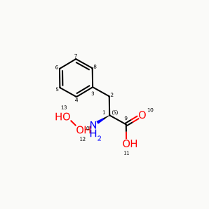 N[C@@H](Cc1ccccc1)C(=O)O.OO